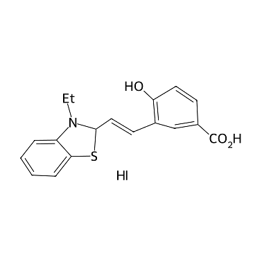 CCN1c2ccccc2SC1C=Cc1cc(C(=O)O)ccc1O.I